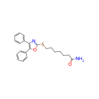 NC(=O)CCCCCCSc1nc(-c2ccccc2)c(-c2ccccc2)o1